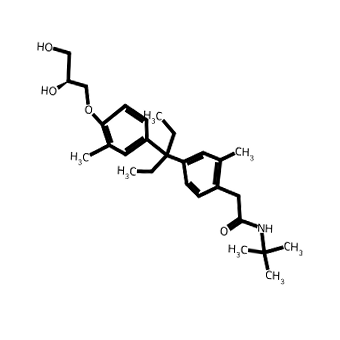 CCC(CC)(c1ccc(CC(=O)NC(C)(C)C)c(C)c1)c1ccc(OC[C@@H](O)CO)c(C)c1